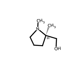 CN1CCC[C@]1(C)CO